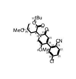 COc1cn(C(C[C@@H](C)OC)C(=O)OC(C)(C)C)c(=O)cc1-c1cc(Cl)ccc1C#N